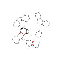 c1ccc(-c2ccc(-c3cc4ccccc4c4ccccc34)cc2N(c2ccc(-c3cccc4oc5ccccc5c34)cc2)c2ccccc2-n2c3ccccc3c3ccccc32)cc1